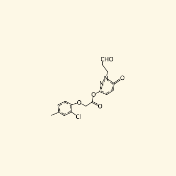 Cc1ccc(OCC(=O)Oc2ccc(=O)n(CCC=O)n2)c(Cl)c1